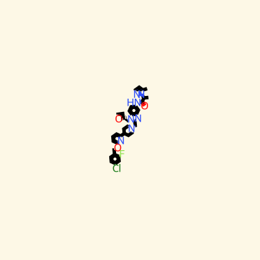 Cc1ccnn1C(C)C(=O)Nc1ccc2c(c1)nc(CN1CCC(c3cccc(OCc4ccc(Cl)cc4F)n3)CC1)n2C[C@@H]1CCO1